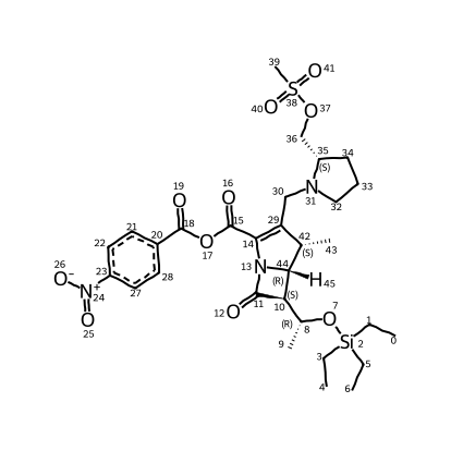 CC[Si](CC)(CC)O[C@H](C)[C@H]1C(=O)N2C(C(=O)OC(=O)c3ccc([N+](=O)[O-])cc3)=C(CN3CCC[C@H]3COS(C)(=O)=O)[C@H](C)[C@H]12